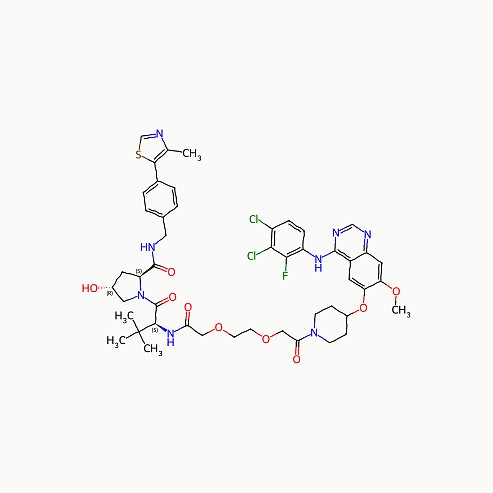 COc1cc2ncnc(Nc3ccc(Cl)c(Cl)c3F)c2cc1OC1CCN(C(=O)COCCOCC(=O)N[C@H](C(=O)N2C[C@H](O)C[C@H]2C(=O)NCc2ccc(-c3scnc3C)cc2)C(C)(C)C)CC1